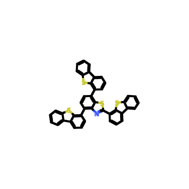 c1ccc2c(c1)sc1c(-c3nc4c(-c5cccc6c5sc5ccccc56)ccc(-c5cccc6c5sc5ccccc56)c4s3)cccc12